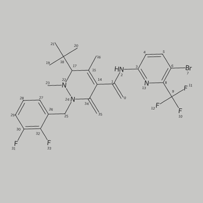 C=C(Nc1ccc(Br)c(C(F)(F)F)n1)C1=C(C)C(C(C)(C)C)N(C)N(Cc2cccc(F)c2F)C1=C